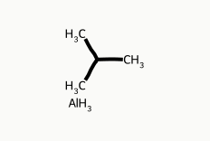 C[C](C)C.[AlH3]